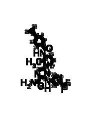 C[C@@H]1[C@H](NC(=O)c2ccc(C3CC3)cc2)CCCN1c1cnc(C(N)=O)c(Nc2cnn(C(F)F)c2)n1